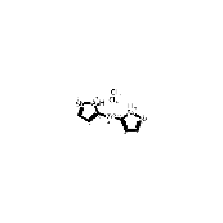 [CH]1=[Sb][AsH][C]([Zr+2][C]2=C[CH]=[Sb][AsH]2)=C1.[Cl-].[Cl-]